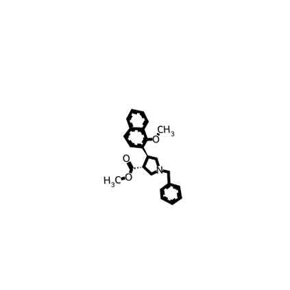 COC(=O)[C@H]1CN(Cc2ccccc2)C[C@@H]1c1ccc2ccccc2c1OC